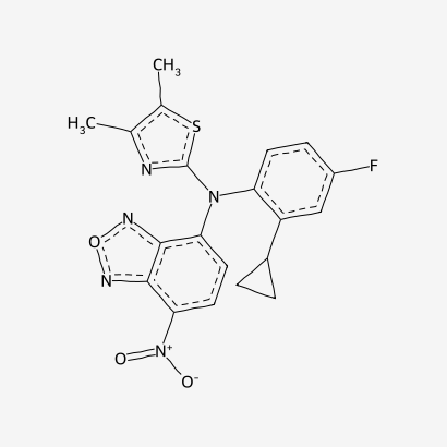 Cc1nc(N(c2ccc(F)cc2C2CC2)c2ccc([N+](=O)[O-])c3nonc23)sc1C